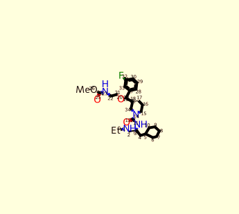 CCNC[C@H](CC1CCCCC1)NC(=O)N1CCC[C@@H]([C@@H](OCCNC(=O)OC)c2cccc(F)c2)C1